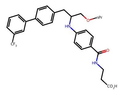 CCCOCC(Cc1ccc(-c2cccc(C(F)(F)F)c2)cc1)Nc1ccc(C(=O)NCCC(=O)O)cc1